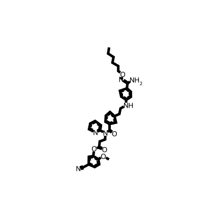 CCCCCCON=C(N)c1ccc(NCCc2cccc(C(=O)N(CCC(=O)Oc3cc(C#N)ccc3OC)c3ccccn3)c2)cc1